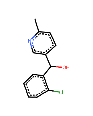 Cc1ccc(C(O)c2ccccc2Cl)cn1